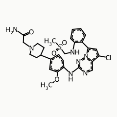 COc1cc(C2CCN(CC(N)=O)CC2)ccc1Nc1ncc2c(Cl)cc(-c3ccccc3NCS(C)(=O)=O)n2n1